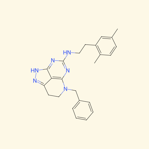 Cc1ccc(C)c(CCNc2nc3c4c(n[nH]c4n2)CCN3Cc2ccccc2)c1